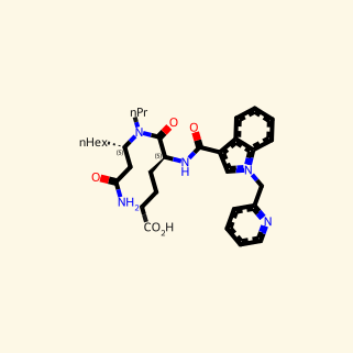 CCCCCC[C@@H](CC(N)=O)N(CCC)C(=O)[C@H](CCCC(=O)O)NC(=O)c1cn(Cc2ccccn2)c2ccccc12